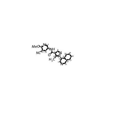 COc1ncc(NC(=O)c2cnn(-c3cncc4ccccc34)c2C)cc1C#N